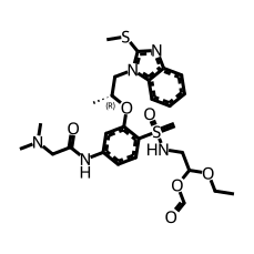 C=S(=O)(NCC(OC=O)OCC)c1ccc(NC(=O)CN(C)C)cc1O[C@H](C)Cn1c(SC)nc2ccccc21